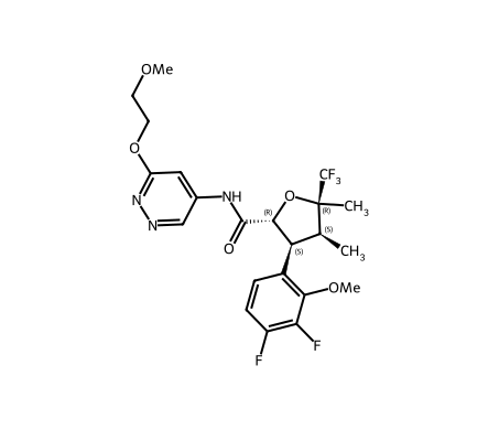 COCCOc1cc(NC(=O)[C@@H]2O[C@@](C)(C(F)(F)F)[C@@H](C)[C@H]2c2ccc(F)c(F)c2OC)cnn1